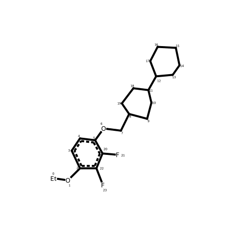 CCOc1ccc(OCC2CCC(C3CCCCC3)CC2)c(F)c1F